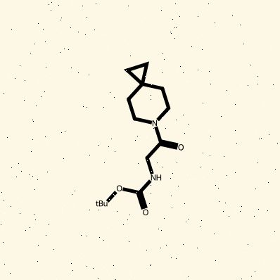 CC(C)(C)OC(=O)NCC(=O)N1CCC2(CC1)CC2